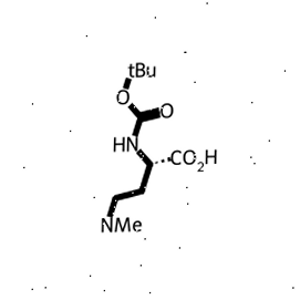 CNCC[C@H](NC(=O)OC(C)(C)C)C(=O)O